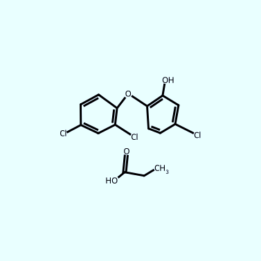 CCC(=O)O.Oc1cc(Cl)ccc1Oc1ccc(Cl)cc1Cl